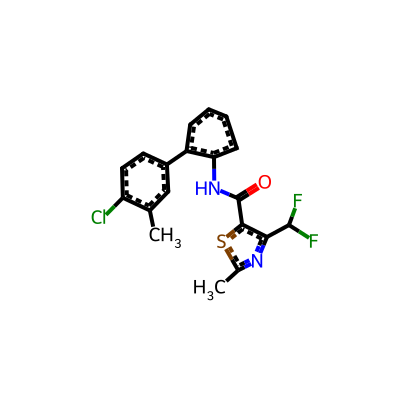 Cc1nc(C(F)F)c(C(=O)Nc2ccccc2-c2ccc(Cl)c(C)c2)s1